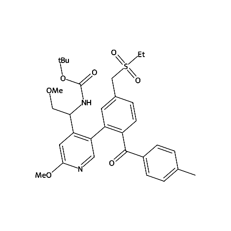 CCS(=O)(=O)Cc1ccc(C(=O)c2ccc(C)cc2)c(-c2cnc(OC)cc2C(COC)NC(=O)OC(C)(C)C)c1